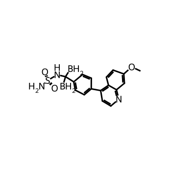 BC(B)(NS(N)(=O)=O)c1ccc(-c2ccnc3cc(OC)ccc23)cc1